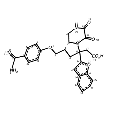 N=C(N)c1ccc(OCCCC(CC(=O)O)(c2cc3ccccc3o2)N2CCNC(=O)C2=O)cc1